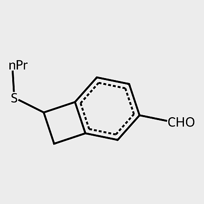 CCCSC1Cc2cc(C=O)ccc21